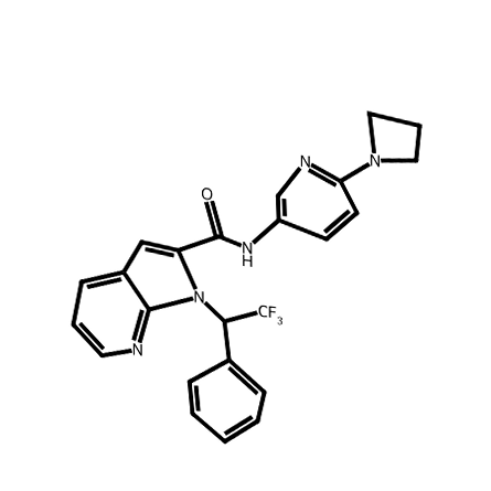 O=C(Nc1ccc(N2CCC2)nc1)c1cc2cccnc2n1C(c1ccccc1)C(F)(F)F